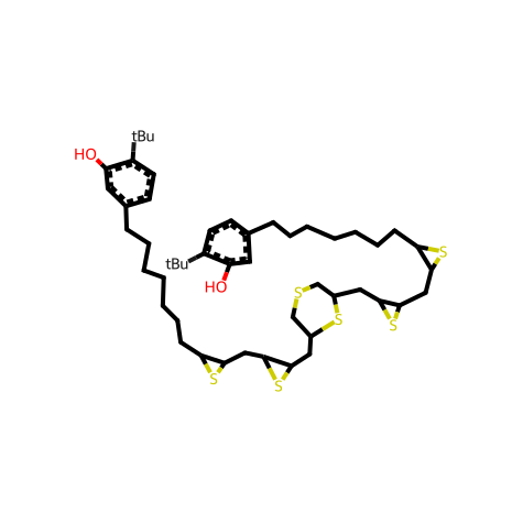 CC(C)(C)c1ccc(CCCCCCCC2SC2CC2SC2CC2CSCC(CC3SC3CC3SC3CCCCCCCc3ccc(C(C)(C)C)c(O)c3)S2)cc1O